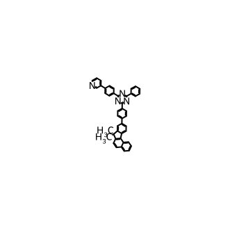 CC1(C)c2cc(-c3ccc(-c4nc(-c5ccccc5)nc(-c5ccc(-c6cccnc6)cc5)n4)cc3)ccc2-c2c1ccc1ccccc21